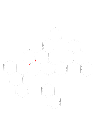 c1ccc(-c2cc3ccccc3cc2-c2c3ccc(N4c5ccccc5Cc5ccccc54)cc3c(-c3ccc4ccccc4c3)c3ccc(N4c5ccccc5Cc5ccccc54)cc23)cc1